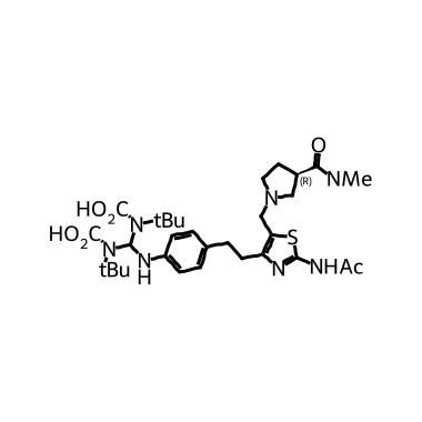 CNC(=O)[C@@H]1CCN(Cc2sc(NC(C)=O)nc2CCc2ccc(NC(N(C(=O)O)C(C)(C)C)N(C(=O)O)C(C)(C)C)cc2)C1